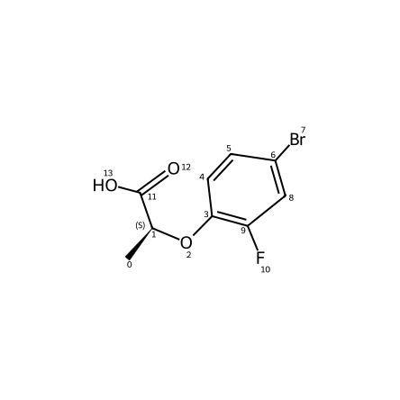 C[C@H](Oc1ccc(Br)cc1F)C(=O)O